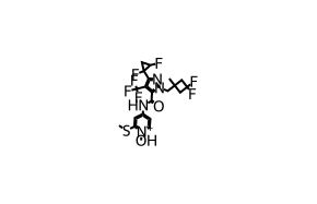 CSc1cc(NC(=O)c2c(C(F)(F)F)c(C3(F)CC3F)nn2CC2(C)CC(F)(F)C2)cc[n+]1O